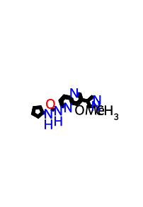 COc1c(C2C=NN(C)C2)cnc2ccc(NC(=O)NC3CCCC3)nc12